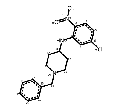 O=[N+]([O-])c1ccc(Cl)cc1NC1CCN(Cc2ccccc2)CC1